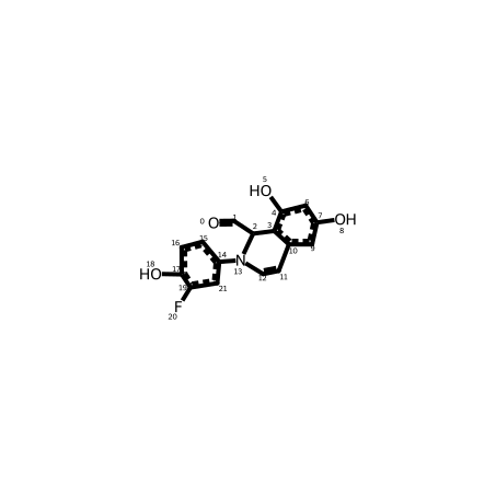 O=CC1c2c(O)cc(O)cc2C=CN1c1ccc(O)c(F)c1